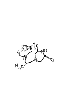 C[C@@H](CN1CC(=O)NC(=O)C1)N(CC(N)=O)CC(=O)O